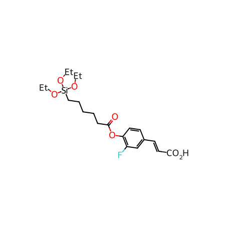 CCO[Si](CCCCCC(=O)Oc1ccc(C=CC(=O)O)cc1F)(OCC)OCC